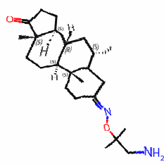 C[C@H]1C[C@@H]2[C@H](CC[C@]3(C)C(=O)CC[C@@H]23)[C@@]2(C)CCC(=NOC(C)(C)CN)CC12